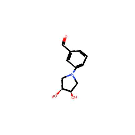 O=Cc1cccc(N2C[C@@H](O)[C@@H](O)C2)c1